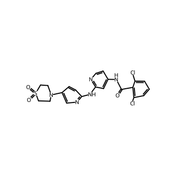 O=C(Nc1ccnc(Nc2ccc(N3CCS(=O)(=O)CC3)cn2)c1)c1c(Cl)cccc1Cl